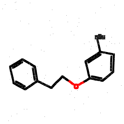 CCCCc1cccc(OCCc2ccccc2)c1